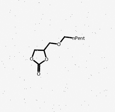 CCCCCCOCC1COC(=O)O1